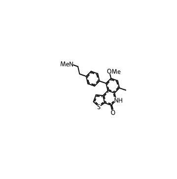 CNCCc1ccc(-c2c(OC)cc(C)c3[nH]c(=O)c4sccc4c23)cc1